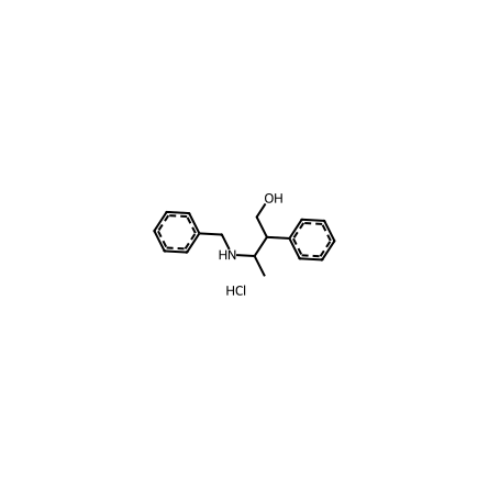 CC(NCc1ccccc1)C(CO)c1ccccc1.Cl